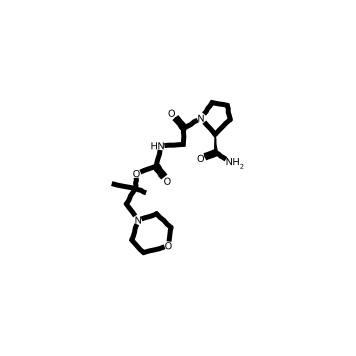 CC(C)(CN1CCOCC1)OC(=O)NCC(=O)N1CCC[C@H]1C(N)=O